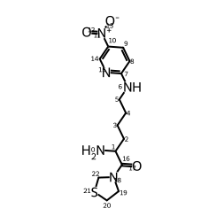 NC(CCCCNc1ccc([N+](=O)[O-])cn1)C(=O)N1CCSC1